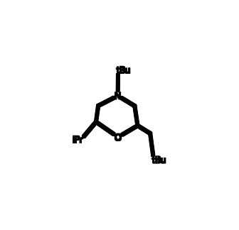 CC(C)C1CN(C(C)(C)C)CC(CC(C)(C)C)O1